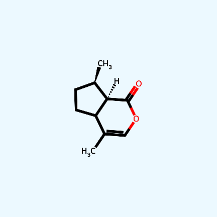 CC1=COC(=O)[C@H]2C1CC[C@H]2C